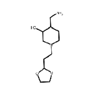 NCC1CCN(CCC2OCCO2)CC1O